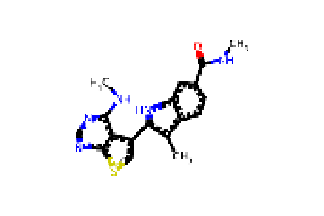 CNC(=O)c1ccc2c(C)c(-c3csc4ncnc(NC)c34)[nH]c2c1